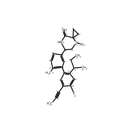 CC#Cc1cc(-c2cc(C3C[S+]([O-])C4(CC4)C(=N)N3)ccc2C)c(C(C)CC)cc1F